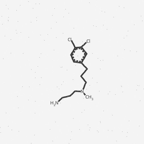 CN(CCCN)CCCc1ccc(Cl)c(Cl)c1